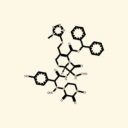 CCN1CCN(N(C=O)C(C(=O)N[C@]2(NC=O)C(=O)N3C(C(=O)OC(c4ccccc4)c4ccccc4)=C(CSc4nnnn4C)CS[C@H]32)c2ccc(O)cc2)C(=O)C1=O